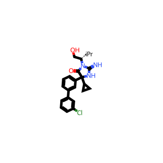 CC(C)[C@@H](CO)N1C(=N)NC(c2cccc(-c3cccc(Cl)c3)c2)(C2CC2)C1=O